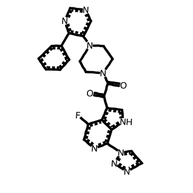 O=C(C(=O)N1CCN(c2cncnc2-c2ccccc2)CC1)c1c[nH]c2c(-n3ccnn3)ncc(F)c12